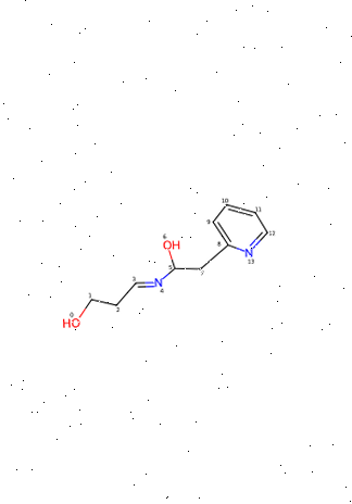 OCCC=NC(O)Cc1ccccn1